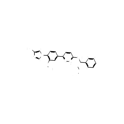 COC[C@H](Nc1ccc(-c2ccc(-n3cnc(C)c3)c(OC)c2)nn1)c1ccccc1